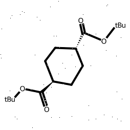 CC(C)(C)OC(=O)[C@H]1CC[C@H](C(=O)OC(C)(C)C)CC1